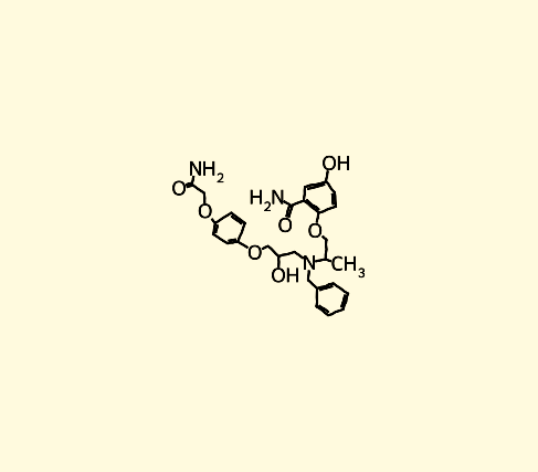 CC(COc1ccc(O)cc1C(N)=O)N(Cc1ccccc1)CC(O)COc1ccc(OCC(N)=O)cc1